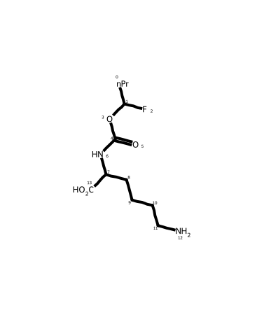 CCCC(F)OC(=O)NC(CCCCN)C(=O)O